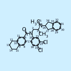 CC(CN(C(=O)c1ccc2c(c1)CCCC2)c1ccc(Cl)c(Cl)c1)N(C)C1Cc2ccccc2C1